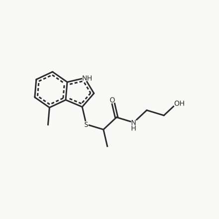 Cc1cccc2[nH]cc(SC(C)C(=O)NCCO)c12